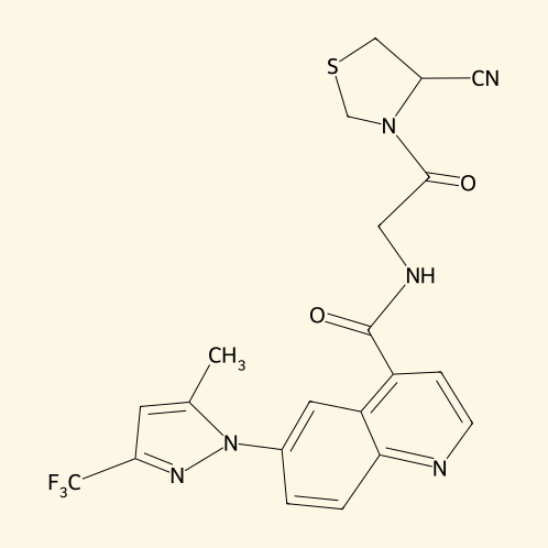 Cc1cc(C(F)(F)F)nn1-c1ccc2nccc(C(=O)NCC(=O)N3CSCC3C#N)c2c1